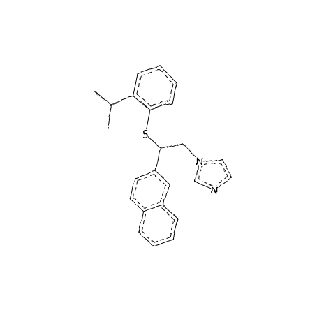 CC(C)c1ccccc1SC(Cn1ccnc1)c1ccc2ccccc2c1